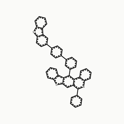 c1ccc(-c2nc3ccccc3c3c(-c4cccc(-c5ccc(-c6ccc7sc8ccccc8c7c6)cc5)c4)c4c(cc23)oc2ccccc24)cc1